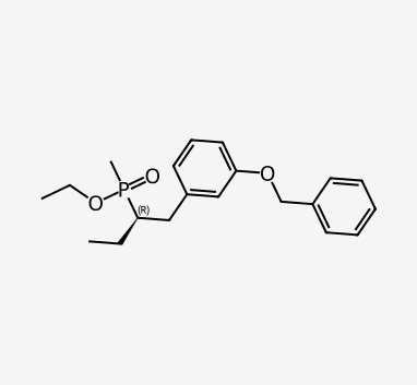 CCOP(C)(=O)[C@H](CC)Cc1cccc(OCc2ccccc2)c1